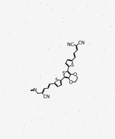 C=NC/C(C#N)=C/C=C/c1ccc(-c2sc(-c3ccc(/C=C/C=C(C#N)C#N)s3)c3c2OCCO3)s1